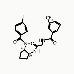 O=C(CNC(=O)c1cccc(C(F)(F)F)c1)N[C@H]1CCC[C@H]1NC(=O)c1ccc(I)cc1